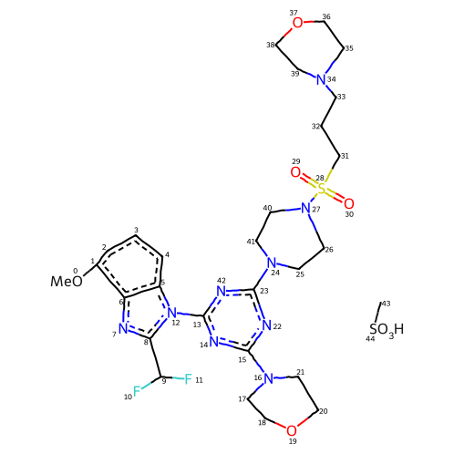 COc1cccc2c1nc(C(F)F)n2-c1nc(N2CCOCC2)nc(N2CCN(S(=O)(=O)CCCN3CCOCC3)CC2)n1.CS(=O)(=O)O